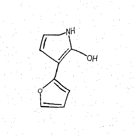 Oc1[nH]ccc1-c1ccco1